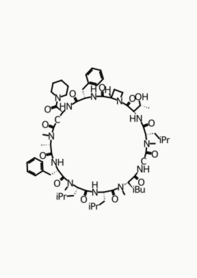 CC[C@H](C)[C@H]1C(=O)NCC(=O)N(C)[C@@H](CC(C)C)C(=O)N[C@@H]([C@@H](C)O)C(=O)N2CC[C@H]2C(=O)N[C@@H](Cc2ccccc2)C(=O)N[C@H](C(=O)N2CCCCC2)CC(=O)N(C)[C@@H](C)C(=O)N[C@@H](Cc2ccccc2)C(=O)N(C)[C@@H](CC(C)C)C(=O)N[C@@H](CC(C)C)C(=O)N1C